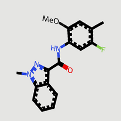 COc1cc(C)c(F)cc1NC(=O)c1nn(C)c2ccccc12